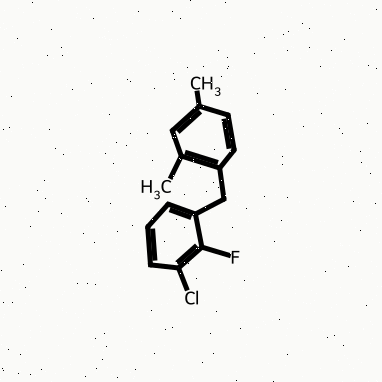 Cc1ccc(Cc2cccc(Cl)c2F)c(C)c1